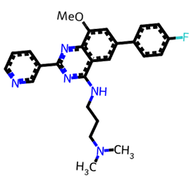 COc1cc(-c2ccc(F)cc2)cc2c(NCCCN(C)C)nc(-c3cccnc3)nc12